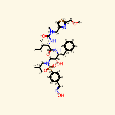 CC[C@H](C)[C@H](NC(=O)N(C)Cc1csc(COC)n1)C(=O)N[C@@H](Cc1ccccc1)[C@H](O)CN(CC(C)C)S(=O)(=O)c1ccc(/C=N/O)cc1